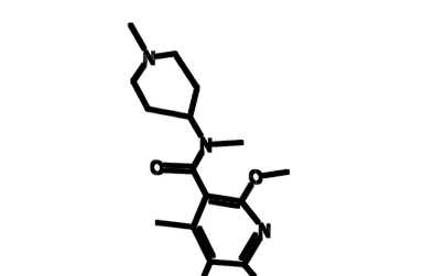 COc1nc(C)c(Cl)c(C)c1C(=O)N(C)C1CCN(C)CC1